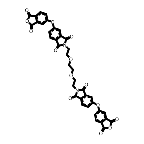 O=C1OC(=O)c2cc(Oc3ccc4c(c3)C(=O)N(CCOCCOCCN3C(=O)c5ccc(Oc6ccc7c(c6)C(=O)OC7=O)cc5C3=O)C4=O)ccc21